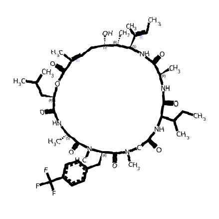 C/C=C(\C)[C@H]1NC(=O)[C@@H](C)NC(=O)C(C(C)CC)NC(=O)CN(C)C(=O)[C@@H](Cc2ccc(C(F)(F)F)cc2)N(C)C(=O)[C@H](C)NC(=O)[C@@H](CC(C)C)OC(=O)/C(C)=C/C[C@H](O)[C@@H]1C